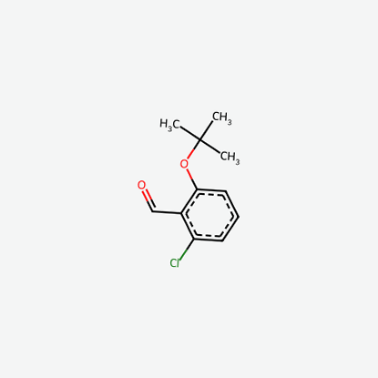 CC(C)(C)Oc1cccc(Cl)c1C=O